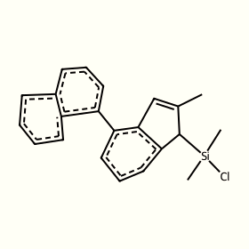 CC1=Cc2c(-c3cccc4ccccc34)cccc2C1[Si](C)(C)Cl